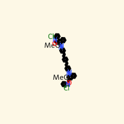 COc1c(CON(C)c2ccccc2Cl)cc2ccccc2c1N=Nc1ccc(C=Cc2ccc(C=Cc3ccc(N=Nc4c(OC)c(C(=O)N(C)c5ccccc5Cl)cc5ccccc45)cc3)cc2)cc1